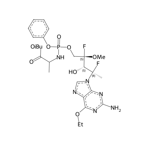 CCOc1nc(N)nc2c1ncn2[C@](C)(F)[C@H](O)[C@@](F)(COP(=O)(NC(C)C(=O)OCC(C)C)Oc1ccccc1)OC